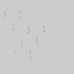 O=C(O)CNC(=O)c1c(O)c2c(n(Cc3ccccn3)c1=O)COCC2